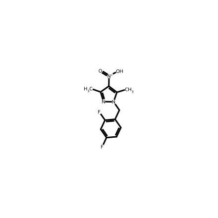 Cc1nn(Cc2ccc(F)cc2F)c(C)c1[N+](=O)O